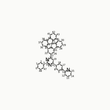 c1ccc(-c2nc(-c3ccc(-c4ccccn4)cc3)cc(-c3ccc4c(c3)-c3ccccc3C43c4ccccc4-c4ccccc43)n2)cc1